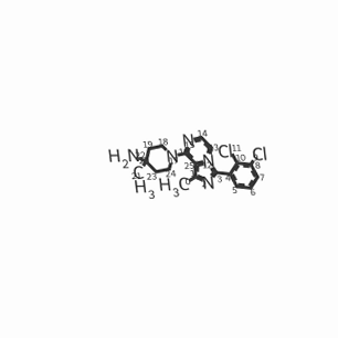 Cc1nc(-c2cccc(Cl)c2Cl)n2ccnc(N3CCC(C)(N)CC3)c12